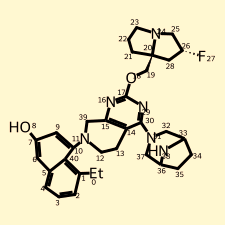 CCc1cccc2cc(O)cc(N3CCc4c(nc(OC[C@@]56CCCN5C[C@H](F)C6)nc4N4CC5CCC(C4)N5)C3)c12